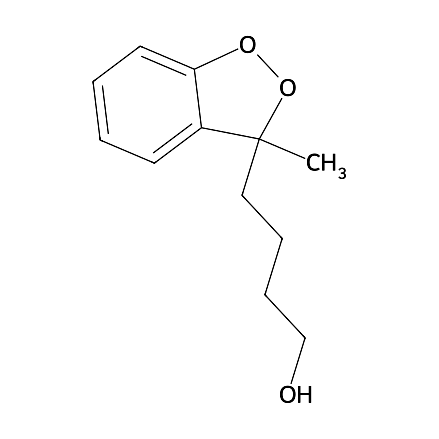 CC1(CCCCO)OOc2ccccc21